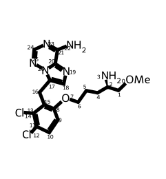 COC[C@H](N)CCCOc1ccc(Cl)c(Cl)c1Cc1cnc2c(N)ncnn12